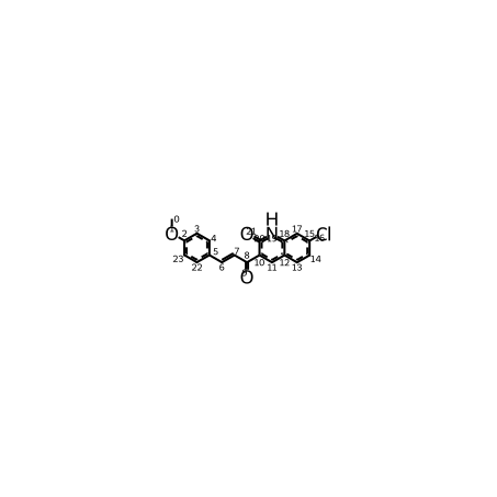 COc1ccc(C=CC(=O)c2cc3ccc(Cl)cc3[nH]c2=O)cc1